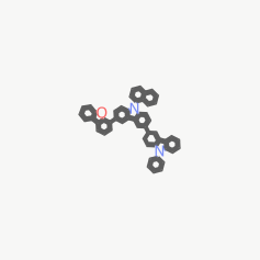 C1=c2c(n(-c3ccccc3)c3ccccc23)=CCC1c1ccc2c(c1)c1cc(-c3cccc4c3oc3ccccc34)ccc1n2-c1cccc2ccccc12